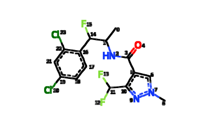 CC(NC(=O)c1cn(C)nc1C(F)F)C(F)c1ccc(Cl)cc1Cl